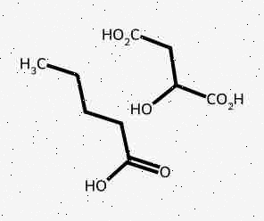 CCCCC(=O)O.O=C(O)CC(O)C(=O)O